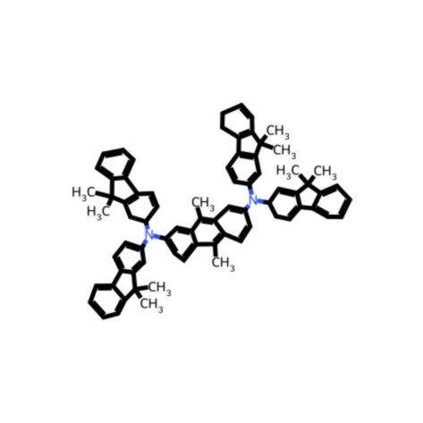 Cc1c2ccc(N(c3ccc4c(c3)C(C)(C)C3=C4CCC=C3)C3C=C4C(=CC3)c3ccccc3C4(C)C)cc2c(C)c2cc(N(c3ccc4c(c3)C(C)(C)c3ccccc3-4)C3C=CC4=C(C3)C(C)(C)c3ccccc34)ccc12